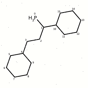 PC(CCC1CCCCC1)C1CCCCC1